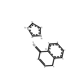 O=C1C=CCc2ccccc21.c1cscn1